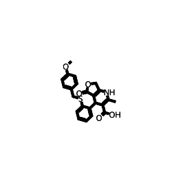 COc1ccc(CSc2ccccc2C2C(C(=O)O)=C(C)NC3=C2C(=O)OC3)cc1